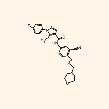 Cc1c(C(=O)Nc2ccc(SCCN3CCOCC3)c(C#N)c2)cnn1-c1ccc(F)cc1